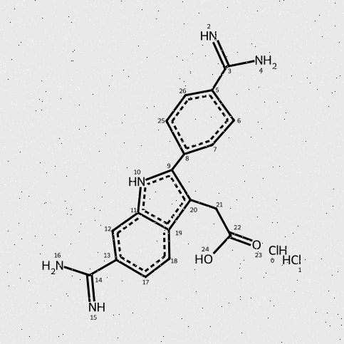 Cl.Cl.N=C(N)c1ccc(-c2[nH]c3cc(C(=N)N)ccc3c2CC(=O)O)cc1